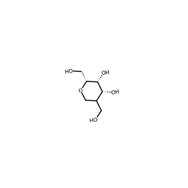 OCC1CO[C@H](CO)[C@H](O)[C@@H]1O